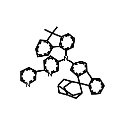 CC1(C)c2ccccc2-c2c(N(c3ccc(-c4cccnc4)nc3)c3ccc4c(c3)C3(c5ccccc5-4)C4CC5CC(C4)CC3C5)cccc21